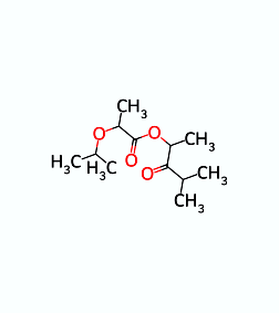 CC(C)OC(C)C(=O)OC(C)C(=O)C(C)C